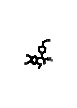 COc1cc(Cl)c(Cl)cc1C(C(N)=O)N1CCC(CO)CC1